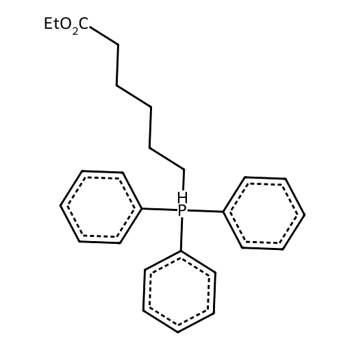 CCOC(=O)CCCCC[PH](c1ccccc1)(c1ccccc1)c1ccccc1